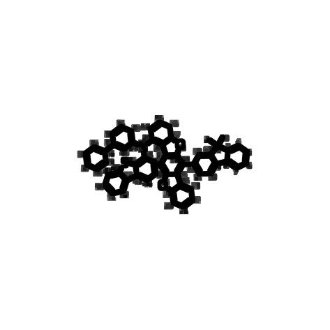 CC1(C)c2ccccc2-c2ccc(-c3c4c(cc5oc6ccccc6c35)C3=C(N(c5cccc(-c6ccccc6)c5)c5cccc6c5sc5ccccc56)C=CCC3O4)cc21